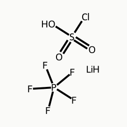 FP(F)(F)(F)F.O=S(=O)(O)Cl.[LiH]